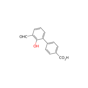 O=Cc1cccc(-c2ccc(C(=O)O)cc2)c1O